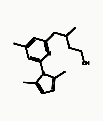 Cc1cc(CC(C)CCO)nc(-n2c(C)ccc2C)c1